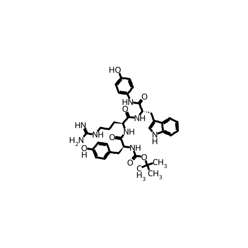 CC(C)(C)OC(=O)N[C@@H](Cc1ccc(O)cc1)C(=O)N[C@@H](CCCNC(=N)N)C(=O)N[C@@H](Cc1c[nH]c2ccccc12)C(=O)Nc1ccc(O)cc1